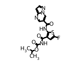 CC(C)OC(=O)NC(=O)c1cc(F)sc1NC(=O)c1cnc2ccnn2c1